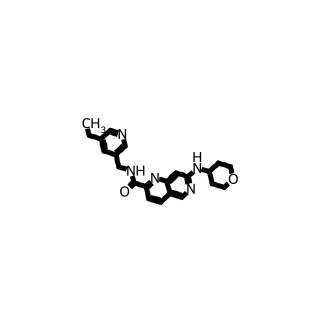 CCc1cncc(CNC(=O)c2ccc3cnc(NC4CCOCC4)cc3n2)c1